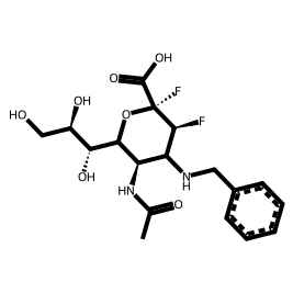 CC(=O)N[C@H]1C([C@H](O)[C@H](O)CO)O[C@@](F)(C(=O)O)[C@@H](F)C1NCc1ccccc1